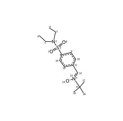 CCN(CC)S(=O)(=O)c1ccc(C=[N+]([O-])C(C)(C)C)cc1